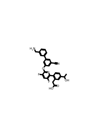 CC(O)c1ccc(-c2nc(Oc3cc(C#N)cc(-c4cccc(CN)c4)c3)c(F)cc2F)c(CC(=O)O)c1